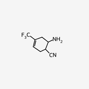 N#CC1CC=C(C(F)(F)F)CC1N